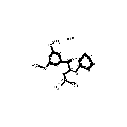 COc1cc(OC)cc(C(=O)[C@@H](Cc2ccccc2)CN(C)C)c1.Cl